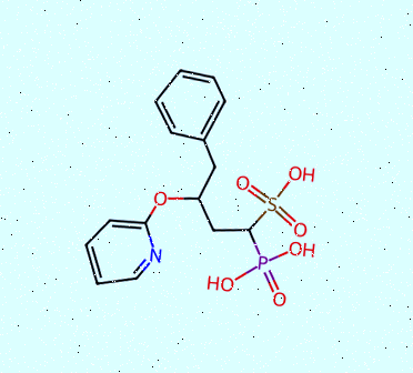 O=P(O)(O)C(CC(Cc1ccccc1)Oc1ccccn1)S(=O)(=O)O